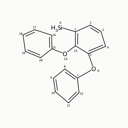 [SiH3]c1cccc(Oc2ccccc2)c1Oc1ccccc1